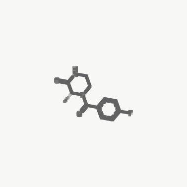 C[C@@H]1C(=O)NCCN1C(=O)c1ccc(F)cc1